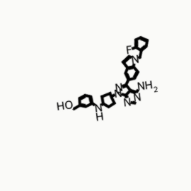 Nc1ncnc2c1c(-c1ccc3c(ccn3Cc3ccccc3F)c1)nn2C1CCC(Nc2cccc(CO)c2)CC1